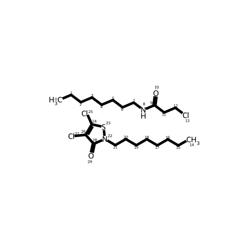 CCCCCCCCNC(=O)CCCl.CCCCCCCCn1sc(Cl)c(Cl)c1=O